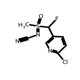 CS(=O)(=NC#N)C(F)c1ccc(Cl)nc1